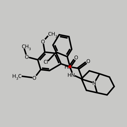 COc1cc(C(=O)NC2CC3CCCC(C2)N3CC(=O)Nc2ccccc2Cl)cc(OC)c1OC